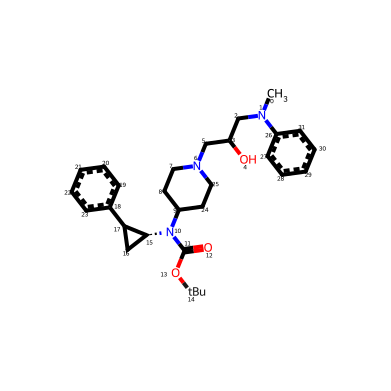 CN(CC(O)CN1CCC(N(C(=O)OC(C)(C)C)[C@@H]2CC2c2ccccc2)CC1)c1ccccc1